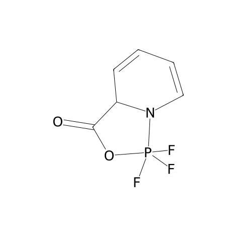 O=C1OP(F)(F)(F)N2C=CC=CC12